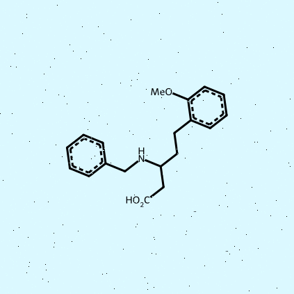 COc1ccccc1CCC(CC(=O)O)NCc1ccccc1